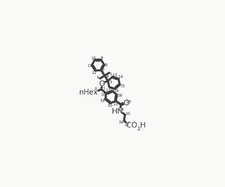 CCCCCCC(OC1(C(C)(C)c2ccccc2)C=CC=CC1)c1ccc(C(=O)NCCC(=O)O)cc1